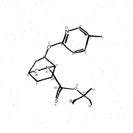 Cc1ccc(OC2CC3CCC2N(C(=O)OC(C)(C)C)C3)nc1